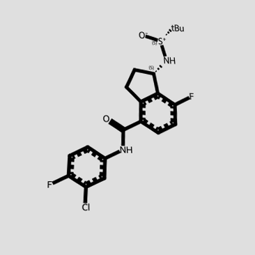 CC(C)(C)[S@@+]([O-])N[C@H]1CCc2c(C(=O)Nc3ccc(F)c(Cl)c3)ccc(F)c21